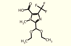 CCOC(OCC)c1nc(C(F)(F)F)c(C(=O)O)n1C